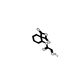 C=CC(=O)OC1CCCCC12C(=O)OC2=O